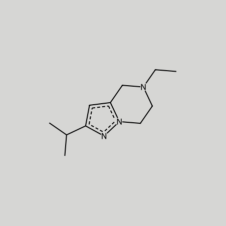 CCN1CCn2nc(C(C)C)cc2C1